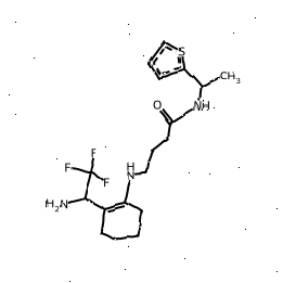 CC(NC(=O)CCCNC1=C(C(N)C(F)(F)F)CCCC1)c1cccs1